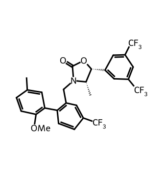 COc1ccc(C)cc1-c1ccc(C(F)(F)F)cc1CN1C(=O)O[C@H](c2cc(C(F)(F)F)cc(C(F)(F)F)c2)[C@@H]1C